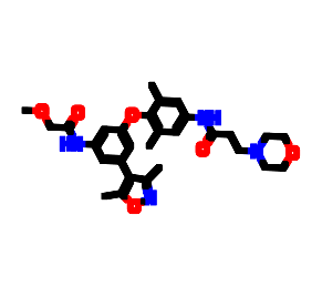 COCC(=O)Nc1cc(Oc2c(C)cc(NC(=O)CCN3CCOCC3)cc2C)cc(-c2c(C)noc2C)c1